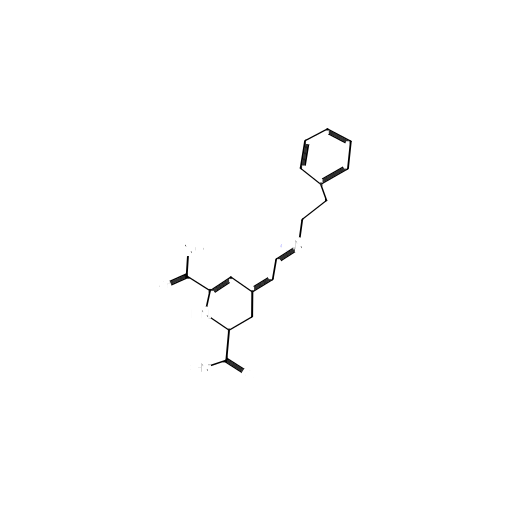 O=NC(=O)C1=C/C(=C\C=N\CCc2ccccc2)CC(C(=O)N=O)N1